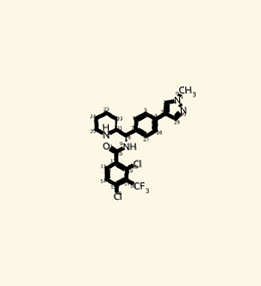 Cn1cc(-c2ccc([C@H](NC(=O)c3ccc(Cl)c(C(F)(F)F)c3Cl)[C@@H]3CCCCN3)cc2)cn1